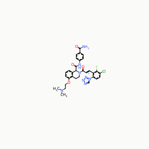 CN(C)CCOc1cccc2c1CCN(C(=O)/C=C/c1c(-n3cnnn3)ccc(Cl)c1F)C2C(=O)Nc1ccc(C(N)=O)cc1